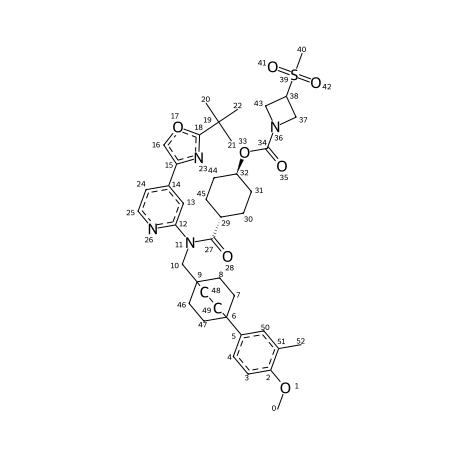 COc1ccc(C23CCC(CN(c4cc(-c5coc(C(C)(C)C)n5)ccn4)C(=O)[C@H]4CC[C@H](OC(=O)N5CC(S(C)(=O)=O)C5)CC4)(CC2)CC3)cc1C